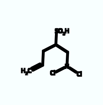 C=CCC(CN(Cl)Cl)S(=O)(=O)O